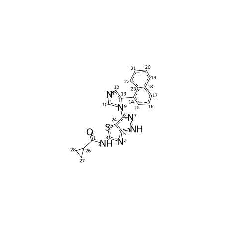 O=C(Nc1nc2[nH]nc(-n3cncc3-c3cccc4ccccc34)c2s1)C1CC1